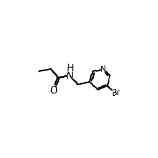 CCC(=O)NCc1cncc(Br)c1